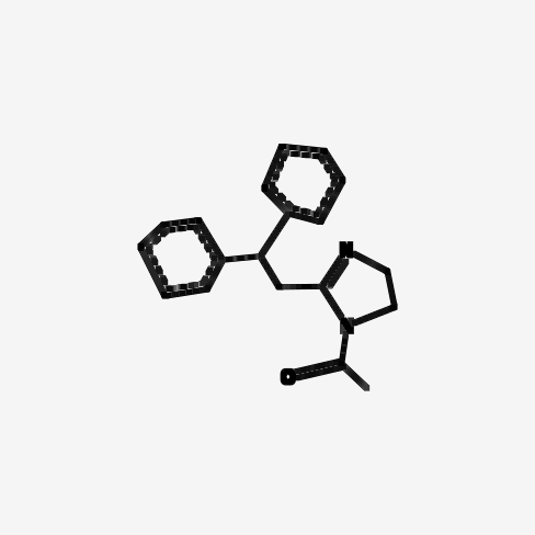 CC(=O)N1CCN=C1CC(c1ccccc1)c1ccccc1